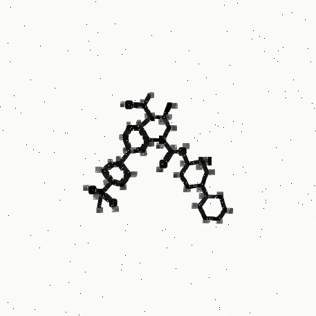 CC(=O)N1c2ccc(-c3ccc(S(C)(=O)=O)cc3)cc2N(C(=O)OC2CCC(C3CCCCC3)CN2)C[C@@H]1C